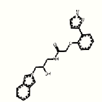 O=C(COc1ccccc1-c1cc[nH]n1)NCC(O)Cn1cc2ccccc2c1